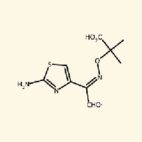 CC(C)(O/N=C(/[C]=O)c1csc(N)n1)C(=O)O